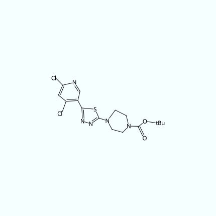 CC(C)(C)OC(=O)N1CCN(c2nnc(-c3cnc(Cl)cc3Cl)s2)CC1